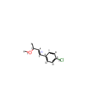 COC(C)/C=C/c1ccc(Cl)cc1